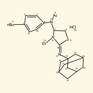 CCCCc1ccc(N(C(C)=O)C2CSC(=NC34CC5CC(CC(C5)C3)C4)N2CC)cc1.Cl